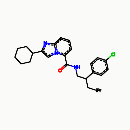 CC(C)CC(CNC(=O)c1cccc2nc(C3CCCCC3)cn12)c1ccc(Cl)cc1